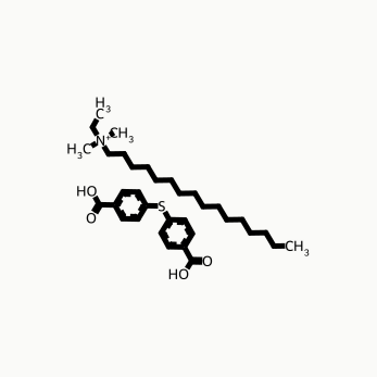 CCCCCCCCCCCCCCCC[N+](C)(C)CC.O=C(O)c1ccc(Sc2ccc(C(=O)O)cc2)cc1